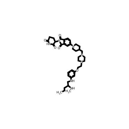 CCCC(CNc1cccc(OCCN2CCN(CC3CCN(c4ccc5c(c4)C(=O)N(C4CCC(=O)NC4=O)C5=O)CC3)CC2)c1)NC